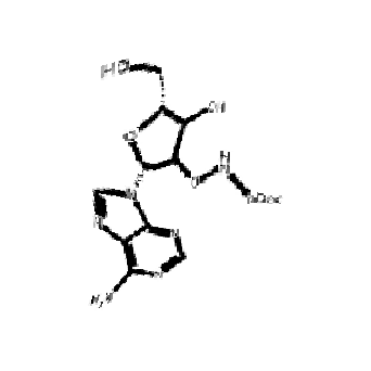 CCCCCCCCCCNOC1C(O)[C@@H](CO)O[C@H]1n1cnc2c(N)ncnc21